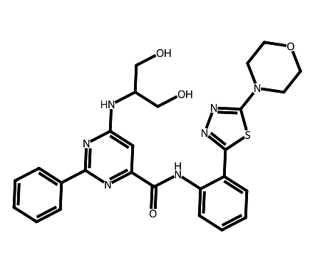 O=C(Nc1ccccc1-c1nnc(N2CCOCC2)s1)c1cc(NC(CO)CO)nc(-c2ccccc2)n1